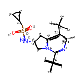 C[C@@H]1N=C(C(C)(C)C)N2C[C@H](NS(=O)(=O)C3CC3)CC2=C1C(C)(C)C